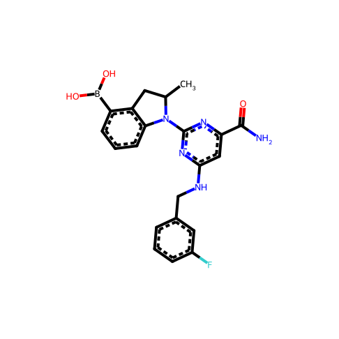 CC1Cc2c(B(O)O)cccc2N1c1nc(NCc2cccc(F)c2)cc(C(N)=O)n1